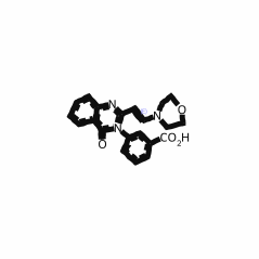 O=C(O)c1cccc(-n2c(/C=C/N3CCOCC3)nc3ccccc3c2=O)c1